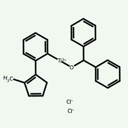 CC1=C(c2cccc[c]2[Ti+2][O]C(c2ccccc2)c2ccccc2)CC=C1.[Cl-].[Cl-]